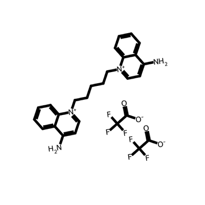 Nc1cc[n+](CCCCC[n+]2ccc(N)c3ccccc32)c2ccccc12.O=C([O-])C(F)(F)F.O=C([O-])C(F)(F)F